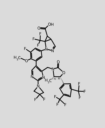 COc1c(F)cc(N2N=CC3C(C(=O)O)C32C(F)(F)F)cc1-c1cnc(N2CC(F)(F)C2)nc1CN1C(=O)O[C@H](c2cc(C(F)(F)F)cc(C(F)(F)F)c2)[C@@H]1C